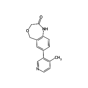 Cc1ccncc1-c1ccc2c(c1)COCC(=O)N2